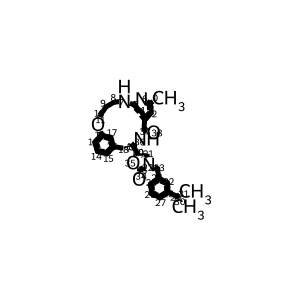 Cc1cc2cc(n1)NCCCOc1cccc(c1)C[C@@H]([C@H]1CN(Cc3cccc(C(C)C)c3)C(=O)O1)NC2=O